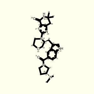 CN(C)[C@@H]1CCN(C(=O)c2ccc3[nH]cc(C[C@H]4COCCN4c4nc5c(s4)C(=O)NC(C)(C)C5)c3c2)C1